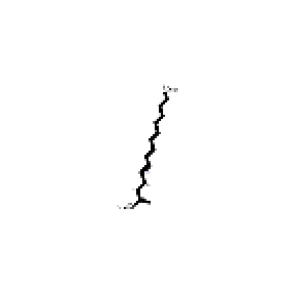 [CH2]CCCCCCCCCCCCCCCCC/C=C/CCC(C)CCCC[CH2]